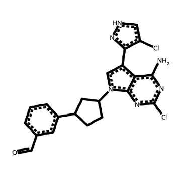 Nc1nc(Cl)nc2c1c(-c1n[nH]cc1Cl)cn2C1CCC(c2cccc(C=O)c2)C1